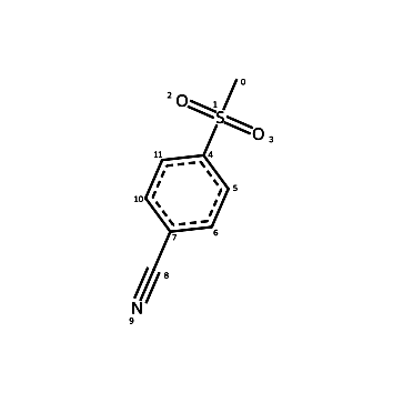 CS(=O)(=O)c1ccc(C#N)cc1